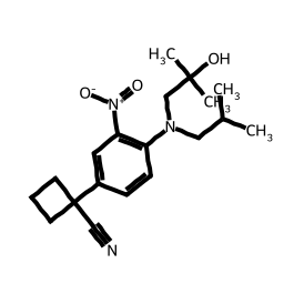 CC(C)CN(CC(C)(C)O)c1ccc(C2(C#N)CCC2)cc1[N+](=O)[O-]